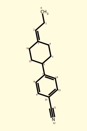 CCC=C1CCC(c2ccc(C#N)cc2)CC1